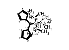 C[SiH](C)[Si]([C](C1C=CC=C1)C1C=CC=C1)([SiH](C)C)[SiH](C)C.[Zr]